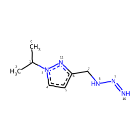 CC(C)n1ccc(CNN=N)n1